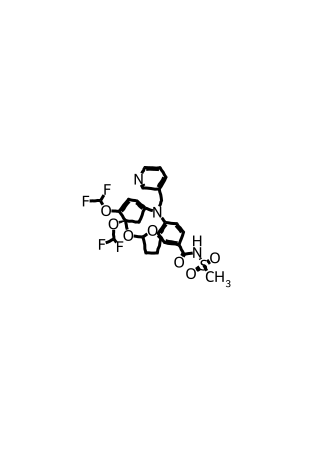 CS(=O)(=O)NC(=O)c1ccc(N(Cc2cccnc2)C2=CC=C(OC(F)F)[C@@](OC(F)F)(OC3CCCO3)C2)cc1